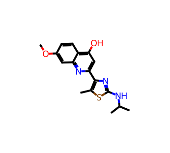 COc1ccc2c(O)cc(-c3nc(NC(C)C)sc3C)nc2c1